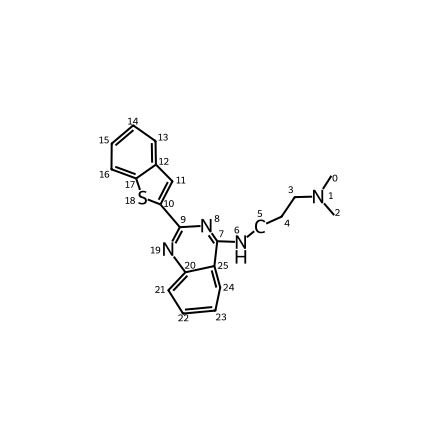 CN(C)CCCNc1nc(-c2cc3ccccc3s2)nc2ccccc12